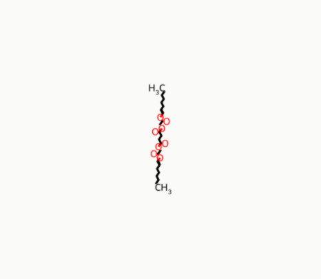 CCCCCCC=COC(=O)COC(=O)CCC(=O)OCC(=O)OC=CCCCCCC